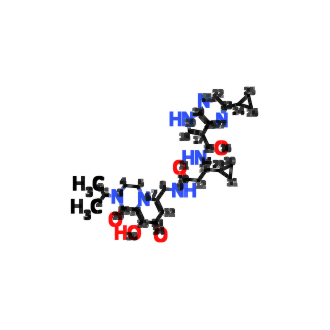 CC(C)N1CCn2c(CNC(=O)CC(NC(=O)c3c[nH]c4ncc(C5CC5)nc34)C3CC3)cc(=O)c(O)c2C1=O